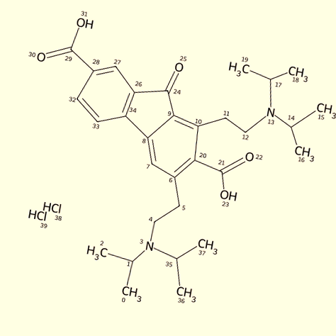 CC(C)N(CCc1cc2c(c(CCN(C(C)C)C(C)C)c1C(=O)O)C(=O)c1cc(C(=O)O)ccc1-2)C(C)C.Cl.Cl